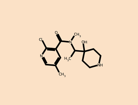 Cc1cnc(Cl)c(C(=O)N(C)C(C)C2(O)CCNCC2)c1